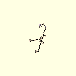 CC/C=C\C/C=C\C/C=C\CCCCCCCC(=O)OCC(COC(=O)CCCCCCC/C=C\CC)OC(=O)CCCCCCC/C=C\CC